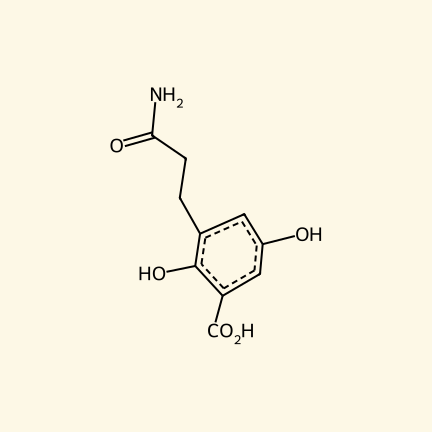 NC(=O)CCc1cc(O)cc(C(=O)O)c1O